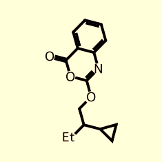 CCC(COc1nc2ccccc2c(=O)o1)C1CC1